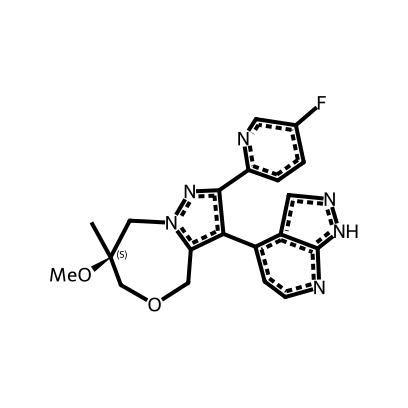 CO[C@]1(C)COCc2c(-c3ccnc4[nH]ncc34)c(-c3ccc(F)cn3)nn2C1